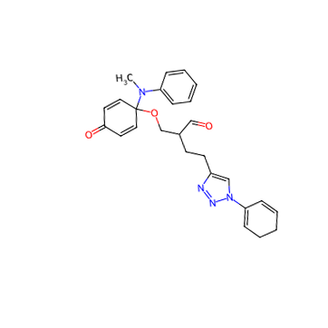 CN(c1ccccc1)C1(OCC(C=O)CCc2cn(C3=CCCC=C3)nn2)C=CC(=O)C=C1